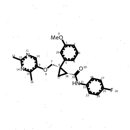 COc1cccc([C@]2(COc3cnc(C)nc3C)C[C@H]2C(=O)Nc2ccc(F)cc2)c1